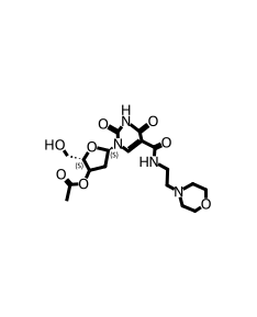 CC(=O)OC1C[C@@H](n2cc(C(=O)NCCN3CCOCC3)c(=O)[nH]c2=O)O[C@H]1CO